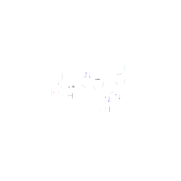 CCn1cnc(-c2ccc(F)cc2)c1-c1ccc2ncc(C#CC(C)(C)O)cc2c1